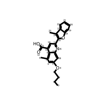 CCCCOc1cc(C)c2c(C(=O)O)cc(-c3oc4ccccc4c3C)nc2c1